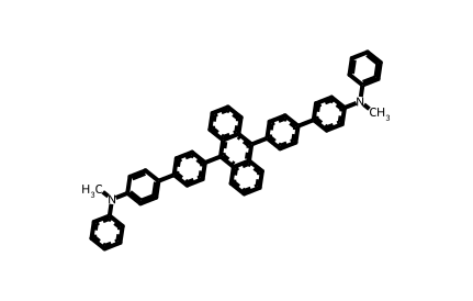 CN(C1=C=C=C(c2ccc(-c3c4ccccc4c(-c4ccc(-c5ccc(N(C)C6=C=C=CC=C6)cc5)cc4)c4ccccc34)cc2)C=C1)c1ccccc1